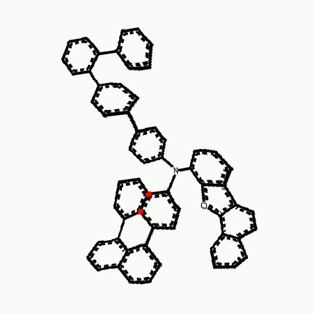 c1ccc(-c2ccccc2-c2ccc(-c3ccc(N(c4ccc(-c5cccc6cccc(-c7ccccc7)c56)cc4)c4cccc5c4oc4c6ccccc6ccc54)cc3)cc2)cc1